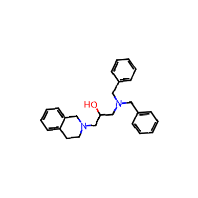 OC(CN(Cc1ccccc1)Cc1ccccc1)CN1CCc2ccccc2C1